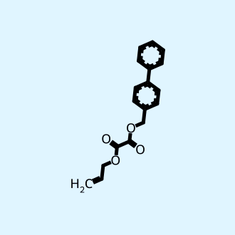 C=CCOC(=O)C(=O)OCc1ccc(-c2ccccc2)cc1